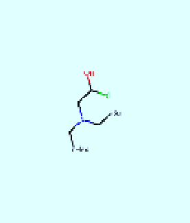 CCCCCCCN(CC(O)Cl)CC(C)CC